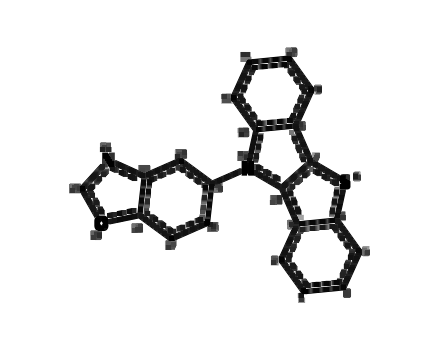 c1ccc2c(c1)sc1c3ccccc3n(-c3ccc4ocnc4c3)c21